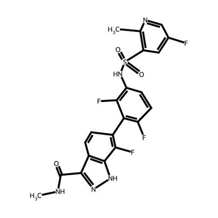 CNC(=O)c1n[nH]c2c(F)c(-c3c(F)ccc(NS(=O)(=O)c4cc(F)cnc4C)c3F)ccc12